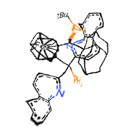 CC(C)(C)PC(C12CC3CC(CC(C3)C1)C2)[C]12[CH]3[CH]4[CH]5[C]1(C(P)(c1ccc6ccccc6n1)c1ccc6ccccc6n1)[Fe]43521678[CH]2[CH]1[CH]6[CH]7[CH]28